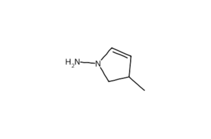 CC1C=CN(N)C1